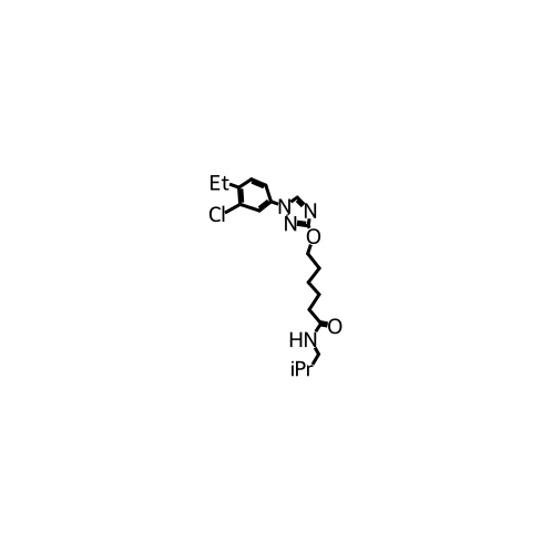 CCc1ccc(-n2cnc(OCCCCCC(=O)NCC(C)C)n2)cc1Cl